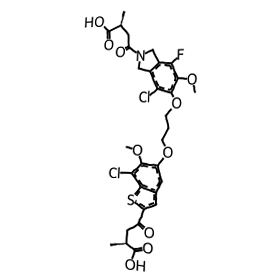 COc1c(F)c2c(c(Cl)c1OCCCOc1cc3cc(C(=O)C[C@H](C)C(=O)O)sc3c(Cl)c1OC)CN(C(=O)C[C@H](C)C(=O)O)C2